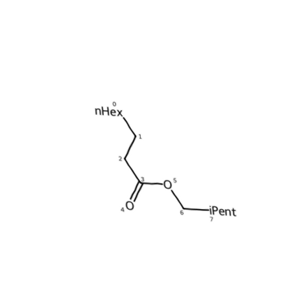 CCCCCCCCC(=O)OCC(C)CCC